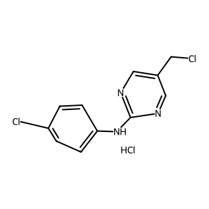 Cl.ClCc1cnc(Nc2ccc(Cl)cc2)nc1